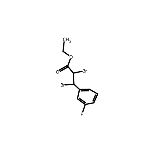 CCOC(=O)C(Br)C(Br)c1cccc(F)c1